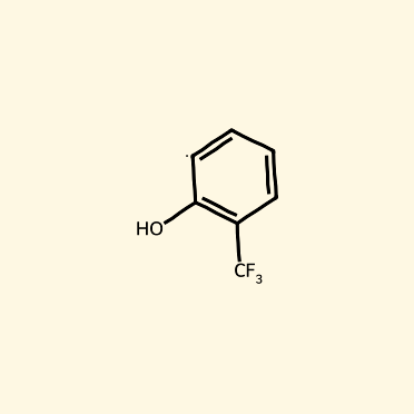 Oc1[c]cccc1C(F)(F)F